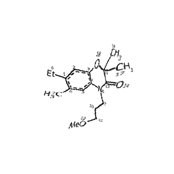 CCc1cc2c(cc1C)N(CCCOC)C(=O)C(C)(C)O2